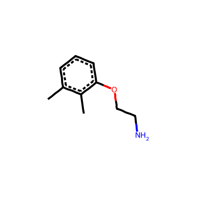 Cc1cccc(OCCN)c1C